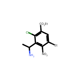 CCOC(=O)c1cc(CC)c([N+](=O)[O-])c(C(C)N)c1Cl